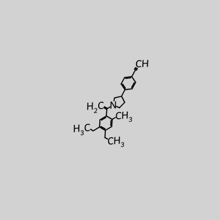 C#Cc1ccc(C2CCN(C(=C)c3cc(CC)c(CC)cc3C)C2)cc1